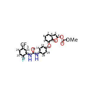 COC(=O)Oc1cc2cccc(Oc3ccc(NC(=O)Nc4cc(C(F)(F)F)ccc4F)cc3)c2o1